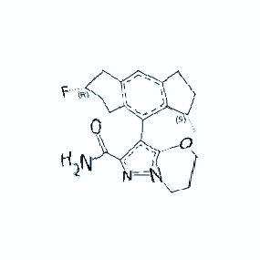 C[C@H]1CCc2cc3c(c(-c4c(C(N)=O)nn5c4OCCC5)c21)C[C@H](F)C3